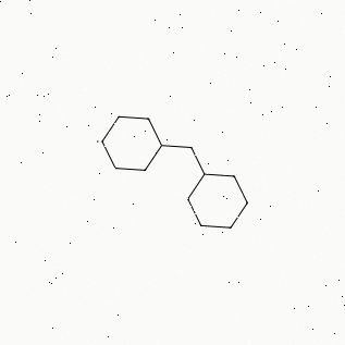 [CH]1CCC(CC2CCCCC2)CC1